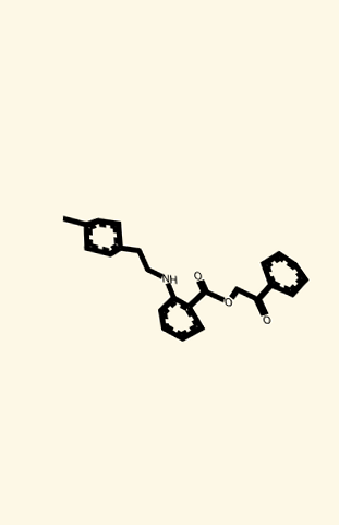 Cc1ccc(CCNc2ccccc2C(=O)OCC(=O)c2ccccc2)cc1